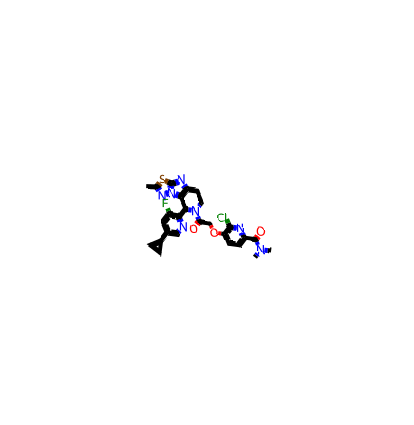 Cc1nn2c3c(nc2s1)CCN(C(=O)COc1ccc(C(=O)N(C)C)nc1Cl)C3c1ncc(C2CC2)cc1F